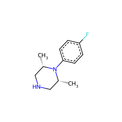 C[C@@H]1CNC[C@H](C)N1c1ccc(F)cc1